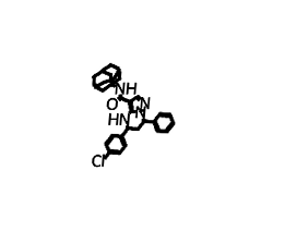 O=C(NC12CC3CC(CC(C3)C1)C2)c1cnn2c1NC(c1ccc(Cl)cc1)CC2c1ccccc1